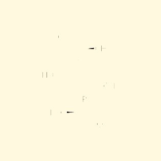 C[C@@H]1COC[C@@H](C)P1CCP1[C@H](C)COC[C@H]1C